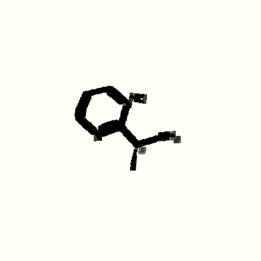 C[C@@H](N)c1ncccn1.Cl